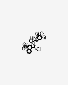 COc1cc2cc(C(=O)N3C[C@@H](CCl)c4c3cc([N+](=O)[O-])c3ccccc43)[nH]c2c(OC)c1OC